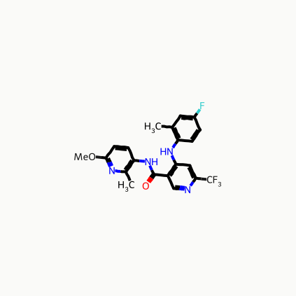 COc1ccc(NC(=O)c2cnc(C(F)(F)F)cc2Nc2ccc(F)cc2C)c(C)n1